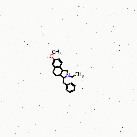 CCN1CC2c3ccc(OC)cc3CCC2C1Cc1ccccc1